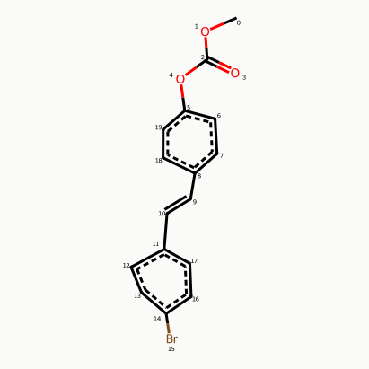 COC(=O)Oc1ccc(C=Cc2ccc(Br)cc2)cc1